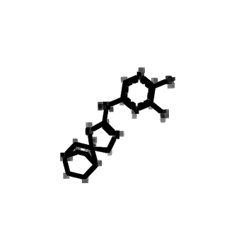 Clc1nc(NC2=NC[C@@]3(CN4CCC3CC4)O2)cnc1Br